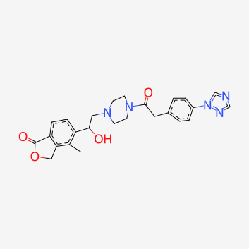 Cc1c(C(O)CN2CCN(C(=O)Cc3ccc(-n4cncn4)cc3)CC2)ccc2c1COC2=O